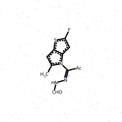 CC(=O)/C(=N/NC=O)n1c(C)cc2sc(F)cc21